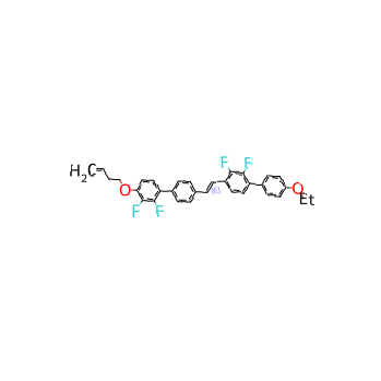 C=CCCOc1ccc(-c2ccc(/C=C/c3ccc(-c4ccc(OCC)cc4)c(F)c3F)cc2)c(F)c1F